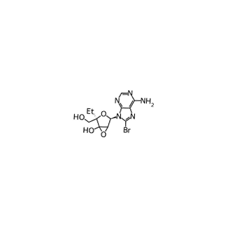 CC[C@]1(CO)O[C@@H](n2c(Br)nc3c(N)ncnc32)C2OC21O